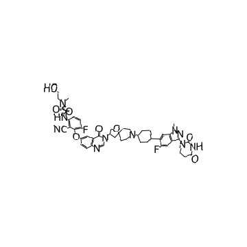 CN(CCO)S(=O)(=O)Nc1ccc(F)c(Oc2ccc3ncn(C4COC5(CCN(C6CCC(c7cc8c(cc7F)c(N7CCC(=O)NC7=O)nn8C)CC6)CC5)C4)c(=O)c3c2)c1C#N